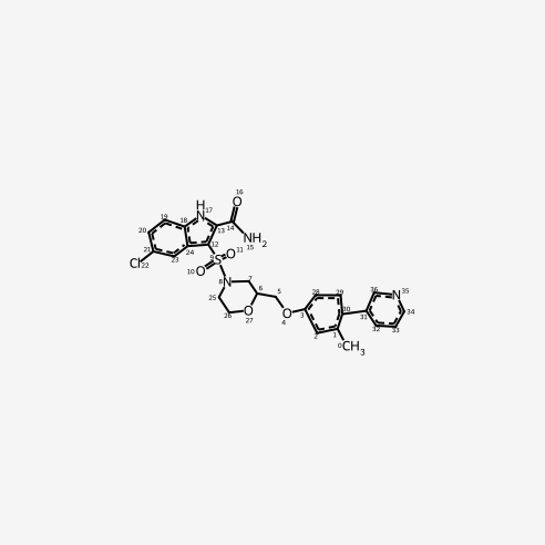 Cc1cc(OCC2CN(S(=O)(=O)c3c(C(N)=O)[nH]c4ccc(Cl)cc34)CCO2)ccc1-c1cccnc1